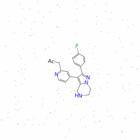 CC(=O)Cc1cc(-c2c(-c3ccc(F)cc3)nn3c2CNCC3)ccn1